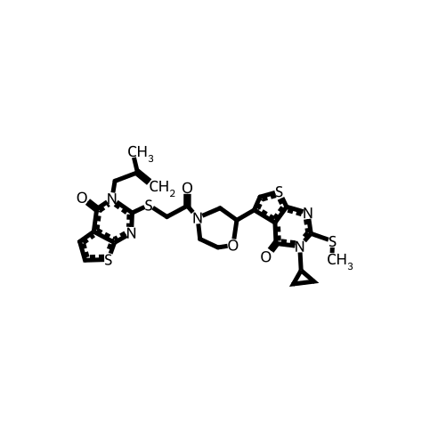 C=C(C)Cn1c(SCC(=O)N2CCOC(c3csc4nc(SC)n(C5CC5)c(=O)c34)C2)nc2sccc2c1=O